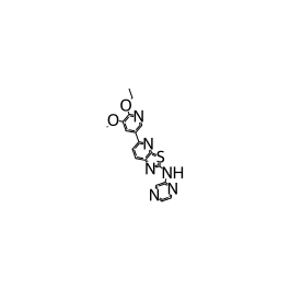 CCOc1ncc(-c2ccc3nc(Nc4cnccn4)sc3n2)cc1OC